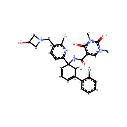 CCc1nc(C2(NC(=O)c3cn(C)c(=O)n(C)c3=O)C=CC=C(c3ccccc3Cl)C2Cl)ccc1CN1CC(O)C1